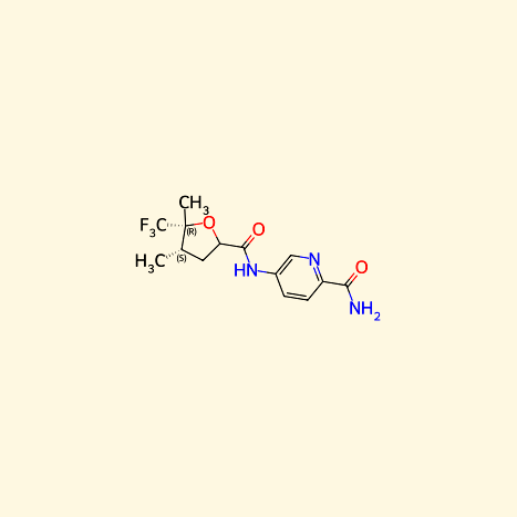 C[C@H]1CC(C(=O)Nc2ccc(C(N)=O)nc2)O[C@@]1(C)C(F)(F)F